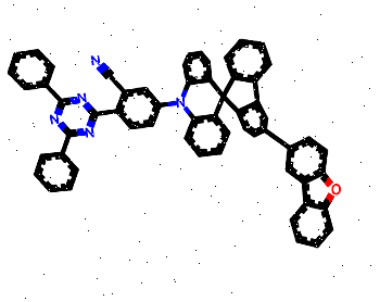 N#Cc1cc(N2c3ccccc3C3(c4ccccc4-c4cc(-c5ccc6oc7ccccc7c6c5)ccc43)c3ccccc32)ccc1-c1nc(-c2ccccc2)nc(-c2ccccc2)n1